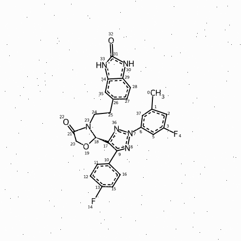 Cc1cc(F)cc(-n2nc(-c3ccc(F)cc3)c([C@H]3OCC(=O)N3CCc3ccc4[nH]c(=O)[nH]c4c3)n2)c1